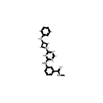 CNC(=O)c1cccc(Nc2ncnc(N3CC(Oc4ccccc4)C3)n2)c1